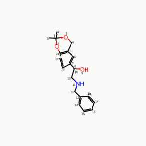 CC1(C)OCc2cc([C@@H](O)CNCc3ccccc3)ccc2O1